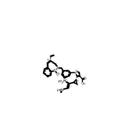 CC[C@H]1Cc2ccccc2[S+]([O-])N(Cc2cccc(-n3ncc(C(=O)O)c3[C@@H]3CC3/C(N)=C/NC)c2)C1